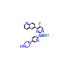 Cl.Fc1cnc(Nc2ccc(N3CCNCC3)cn2)nc1-c1ccc2ncccc2c1